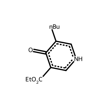 CCCCc1c[nH]cc(C(=O)OCC)c1=O